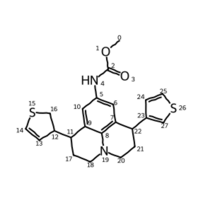 COC(=O)Nc1cc2c3c(c1)C(C1C=CSC1)CCN3CCC2c1ccsc1